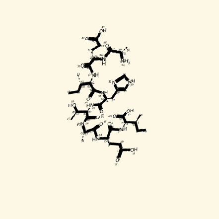 CC[C@H](C)[C@H](NC(=O)[C@H](CCC(=O)O)NC(=O)[C@H](C)NC(=O)[C@@H](NC(=O)[C@H](Cc1c[nH]cn1)NC(=O)[C@@H](NC(=O)[C@H](CCC(=O)O)NC(=O)[C@H](C)N)[C@@H](C)CC)[C@@H](C)O)C(=O)O